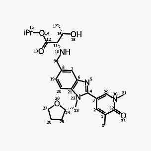 Cc1cc(-c2nc3cc(CN[C@H](C(=O)OC(C)C)[C@H](C)O)ccc3n2C[C@@H]2CCCO2)cn(C)c1=O